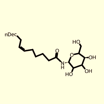 CCCCCCCCCCC/C=C\CCCCC(=O)N[C@@H]1OC(CO)[C@@H](O)C(O)C1O